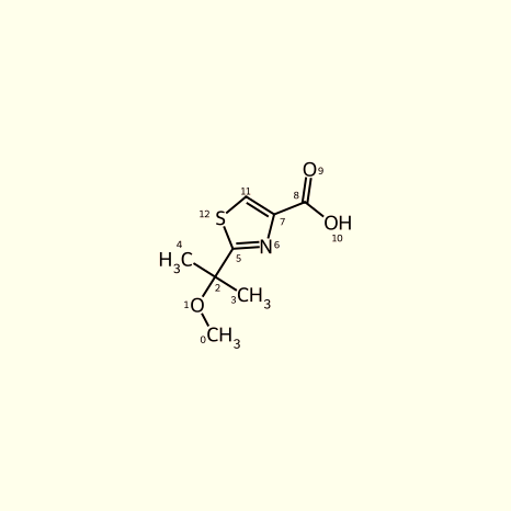 COC(C)(C)c1nc(C(=O)O)cs1